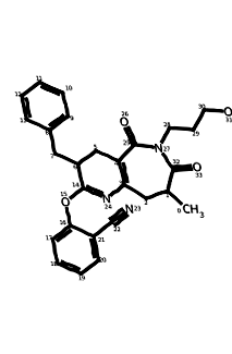 CC1CC2=C(CC(Cc3ccccc3)C(Oc3ccccc3C#N)=N2)C(=O)N(CCCO)C1=O